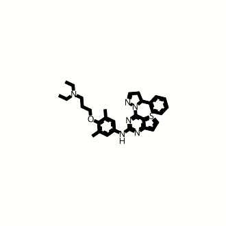 CCN(CC)CCCOc1c(C)cc(Nc2nc(N3N=CCC3c3ccccc3)c3sccc3n2)cc1C